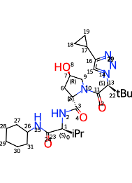 CC(C)[C@H](NC(=O)[C@@H]1C[C@@H](O)CN1C(=O)[C@@H](n1cc(C2CC2)nn1)C(C)(C)C)C(=O)NC1CCCCC1